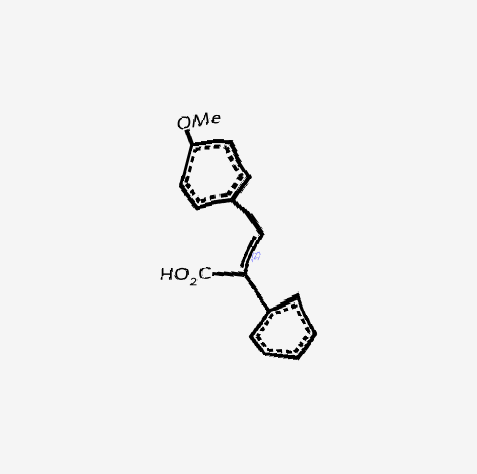 COc1ccc(/C=C(\C(=O)O)c2ccccc2)cc1